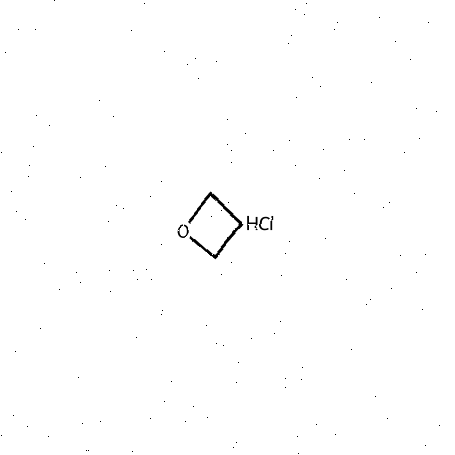 C1COC1.Cl